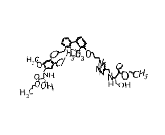 CCOC(=O)[C@@H](CO)NCc1cn(CCCOc2cccc(-c3cccc(COc4cc(OC)c(CN[C@H](CO)C(=O)OCC)cc4Cl)c3C)c2C)nn1